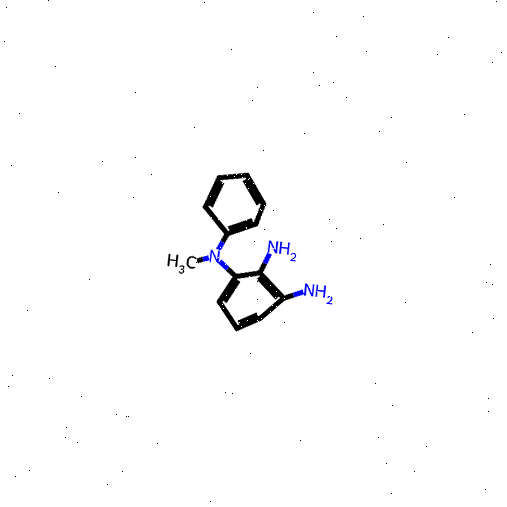 CN(c1ccccc1)c1cccc(N)c1N